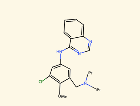 COc1c(Cl)cc(Nc2ncnc3ccccc23)cc1CN(C(C)C)C(C)C